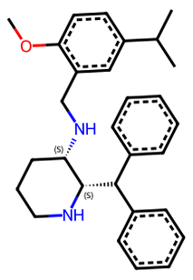 COc1ccc(C(C)C)cc1CN[C@H]1CCCN[C@H]1C(c1ccccc1)c1ccccc1